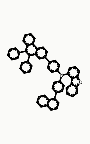 c1ccc(-c2c(-c3ccccc3)c3cc(-c4ccc(N(c5ccc(-c6cccc7ccccc67)cc5)c5cccc6oc7ccccc7c56)cc4)ccc3c3ccccc23)cc1